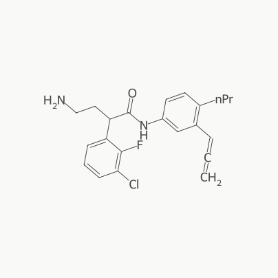 C=C=Cc1cc(NC(=O)C(CCN)c2cccc(Cl)c2F)ccc1CCC